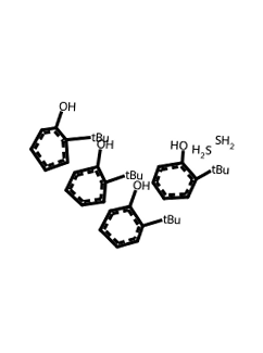 CC(C)(C)c1ccccc1O.CC(C)(C)c1ccccc1O.CC(C)(C)c1ccccc1O.CC(C)(C)c1ccccc1O.S.S